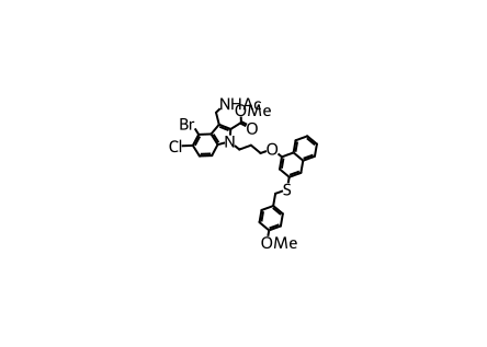 COC(=O)c1c(CNC(C)=O)c2c(Br)c(Cl)ccc2n1CCCOc1cc(SCc2ccc(OC)cc2)cc2ccccc12